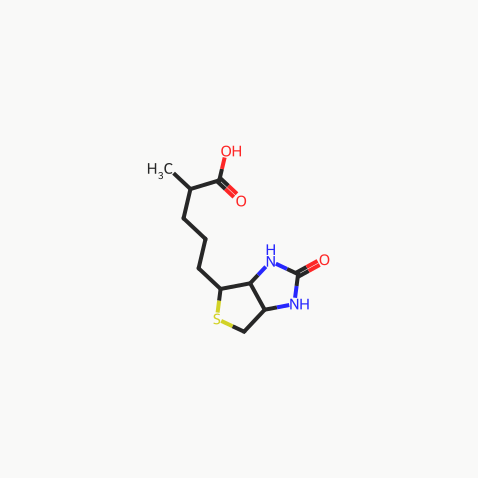 CC(CCCC1SCC2NC(=O)NC21)C(=O)O